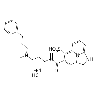 CN(CCCNC(=O)C1=CC2CNC3=CC=CC(=C1S(=O)(=O)O)N32)CCCc1ccccc1.Cl.Cl